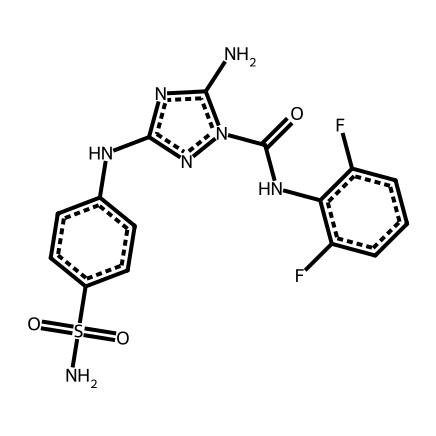 Nc1nc(Nc2ccc(S(N)(=O)=O)cc2)nn1C(=O)Nc1c(F)cccc1F